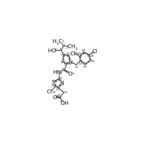 CC(C)C(O)c1cc(C(=O)Nc2nc(CC(=O)O)c(Cl)s2)n(Cc2ccc(Cl)cc2Cl)c1